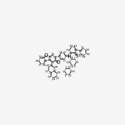 c1ccc(-c2cccc(N(c3ccc4c(c3)oc3c(-c5ccc6ccccc6c5)c5c(cc34)oc3ccccc35)c3cccc4c3sc3ccccc34)c2)cc1